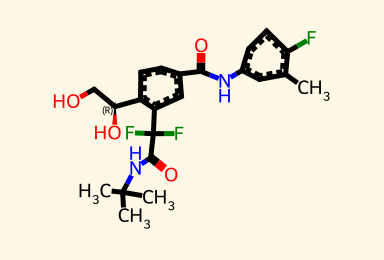 Cc1cc(NC(=O)c2ccc([C@@H](O)CO)c(C(F)(F)C(=O)NC(C)(C)C)c2)ccc1F